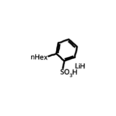 CCCCCCc1ccccc1S(=O)(=O)O.[LiH]